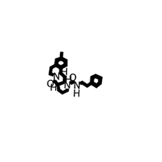 Cc1ccc2c(c1)CCN1C(=O)[C@@H]3CCCN(C(=O)NCCc4ccccc4)[C@@H]3C[C@@H]21